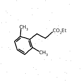 CCOC(=O)CCc1c(C)cccc1C